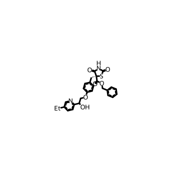 CCc1ccc(C(O)COc2ccc(C[C@@]3(C(=O)OCc4ccccc4)SC(=O)NC3=O)cc2)nc1